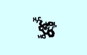 CCCC1(CCC)CCC([C@H](O)c2cccc(F)c2)N1.Cl